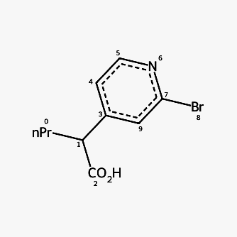 CCCC(C(=O)O)c1ccnc(Br)c1